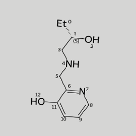 CC[C@H](O)CNCc1ncccc1O